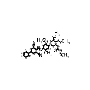 CCCCC(CC)CN(CCCC(=O)OCC)c1cc(C)c(N=Nc2c(C#N)cc(-c3ccccc3)cc2C#N)cc1OC